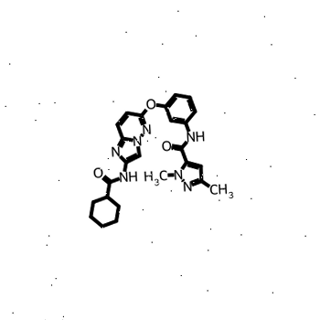 Cc1cc(C(=O)Nc2cccc(Oc3ccc4nc(NC(=O)C5CCCCC5)cn4n3)c2)n(C)n1